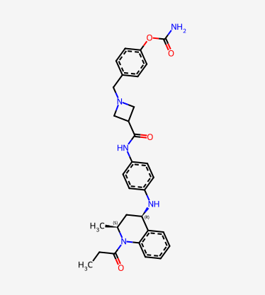 CCC(=O)N1c2ccccc2[C@H](Nc2ccc(NC(=O)C3CN(Cc4ccc(OC(N)=O)cc4)C3)cc2)C[C@@H]1C